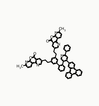 Cc1ccc2c(n1)oc(=O)c1cc(CCc3cc(CCc4cnc5c(c4)c(=O)oc4nc(C)ccc45)cc(-c4ccccc4-c4cnc(-c5ccccc5)cc4-c4ccc5c6ccccc6c6ccccc6c5c4)c3)cnc12